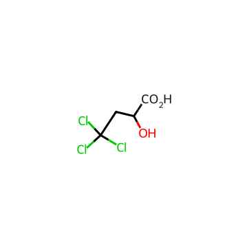 O=C(O)C(O)CC(Cl)(Cl)Cl